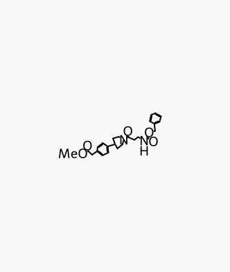 COC(=O)Cc1ccc(C2CCN(C(=O)CCNC(=O)OCc3ccccc3)CC2)cc1